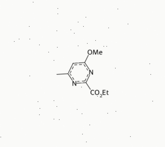 CCOC(=O)c1nc(C)cc(OC)n1